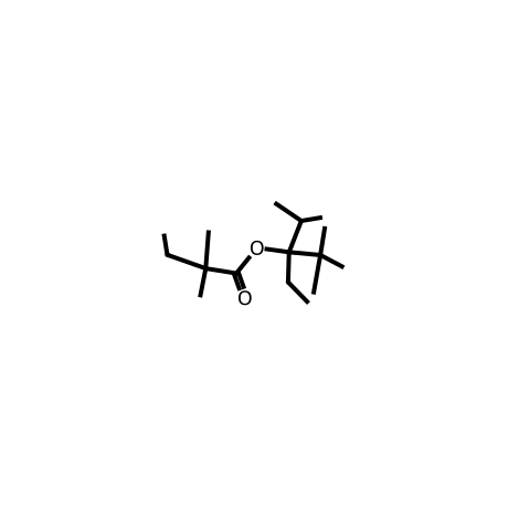 CCC(C)(C)C(=O)OC(CC)(C(C)C)C(C)(C)C